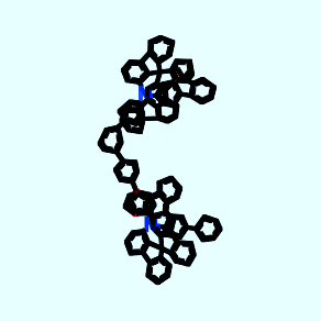 CC1(C)c2ccccc2-c2ccc(N(c3ccc(-c4cccc(-c5ccc(-c6ccc(N(c7ccc(-c8ccccc8)cc7)c7cccc8c7C7(c9ccccc9-c9cc%10c%11ccccc%11c%11ccccc%11c%10cc97)c7ccccc7-8)cc6)cc5)c4)cc3)c3cccc4c3C3(c5ccccc5-4)c4ccccc4-c4c3cc3c5c(cccc45)-c4ccccc4-3)cc21